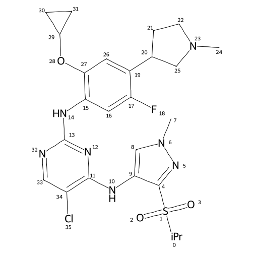 CC(C)S(=O)(=O)c1nn(C)cc1Nc1nc(Nc2cc(F)c(C3CCN(C)C3)cc2OC2CC2)ncc1Cl